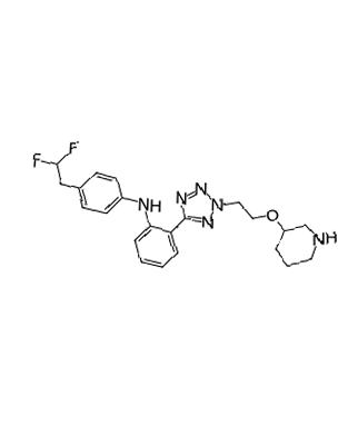 FC(F)Cc1ccc(Nc2ccccc2-c2nnn(CCOC3CCCNC3)n2)cc1